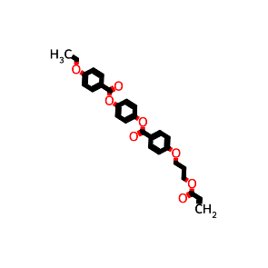 C=CC(=O)OCCCOc1ccc(C(=O)Oc2ccc(OC(=O)c3ccc(OCC)cc3)cc2)cc1